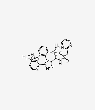 COc1cccc(OC)c1-n1c(C(=O)NS(=O)(=O)Cc2ncccn2)nnc1-c1cc(C)ccn1